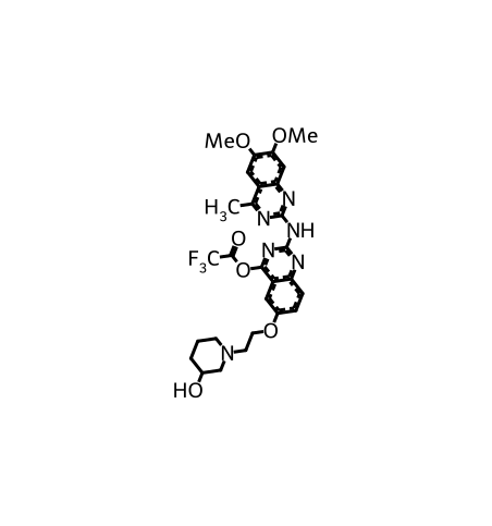 COc1cc2nc(Nc3nc(OC(=O)C(F)(F)F)c4cc(OCCN5CCCC(O)C5)ccc4n3)nc(C)c2cc1OC